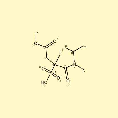 COC(=O)CC(F)(C(=O)N(C)C(C)C)S(=O)(=O)O